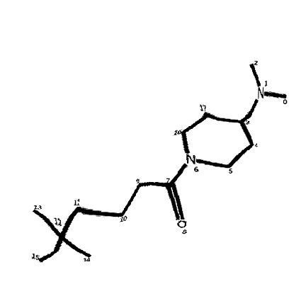 CN(C)C1CCN(C(=O)CCCC(C)(C)C)CC1